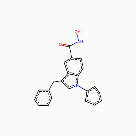 O=C(NO)c1ccc2c(c1)c(Cc1ccccc1)cn2-c1ccccc1